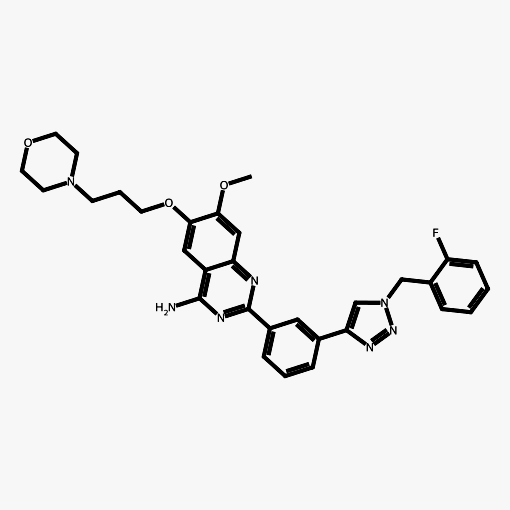 COc1cc2nc(-c3cccc(-c4cn(Cc5ccccc5F)nn4)c3)nc(N)c2cc1OCCCN1CCOCC1